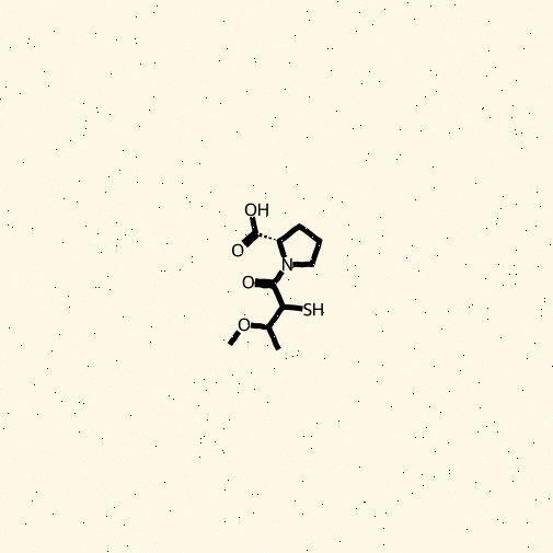 COC(C)C(S)C(=O)N1CCC[C@H]1C(=O)O